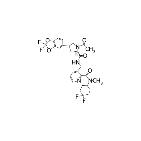 CC(=O)N1CC(c2ccc3c(c2)OC(F)(F)O3)C[C@@H]1C(=O)NCc1cccnc1C(=O)N(C)C1CCC(F)(F)CC1